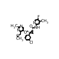 COCc1nc(C)ncc1OC[C@@]1(C2C=CC=C(Cl)C2)C[C@H]1C(=O)Nc1cc(C)c(F)cn1